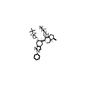 C=C1CC[C@H]2[C@H](CN=[N+]=[N-])[C@@H]([C@@]3(C)Cc4cn(-c5ccccc5)nc4C[C@@H]3CO[Si](C)(C)C(C)(C)C)CC[C@]12C